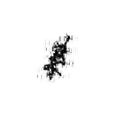 CN[C@@H](CC(C)C)C(=O)N[C@@H](CCCNC(=N)N)C(=O)N[C@@H](CO)C(=O)N[C@@H](CCSC)C(=O)N[C@H](C(=O)N[C@@H](CC(=O)O)C(=O)N[C@@H](CCCCN)C(=O)N[C@@H](Cc1ccc(O)cc1)C(=O)N[C@@H](CCCCN)C(=O)N[C@@H](CC(C)C)C(N)=O)[C@@H](C)O